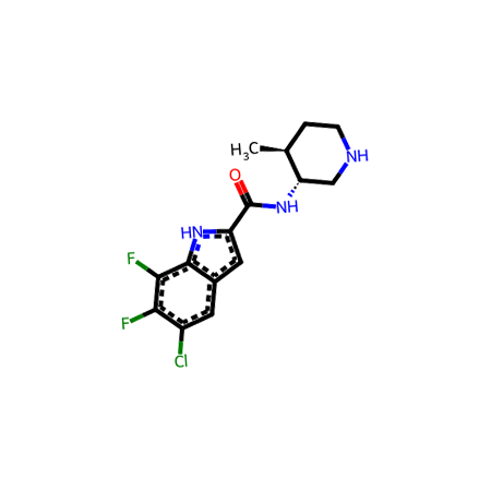 C[C@H]1CCNC[C@@H]1NC(=O)c1cc2cc(Cl)c(F)c(F)c2[nH]1